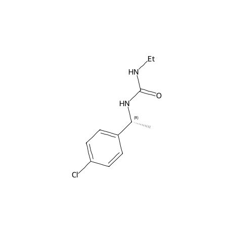 CCNC(=O)N[C@H](C)c1ccc(Cl)cc1